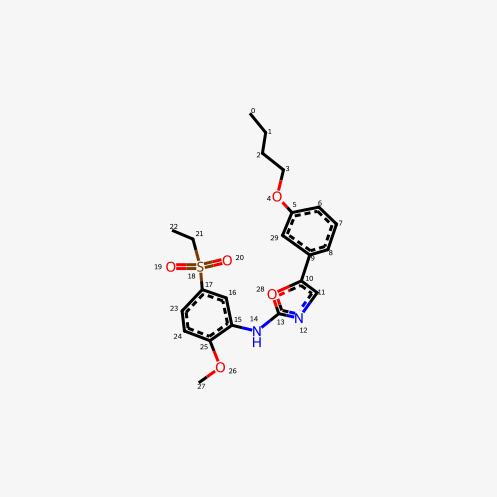 CCCCOc1cccc(-c2cnc(Nc3cc(S(=O)(=O)CC)ccc3OC)o2)c1